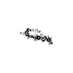 C[N+]1(CC2CCN(C(=O)O)C2)CCC(C(=O)NCCCNC(=O)c2ccc(Nc3nccn4c(-c5ccc(OC(F)F)c(F)c5F)cnc34)cc2Cl)CC1.I